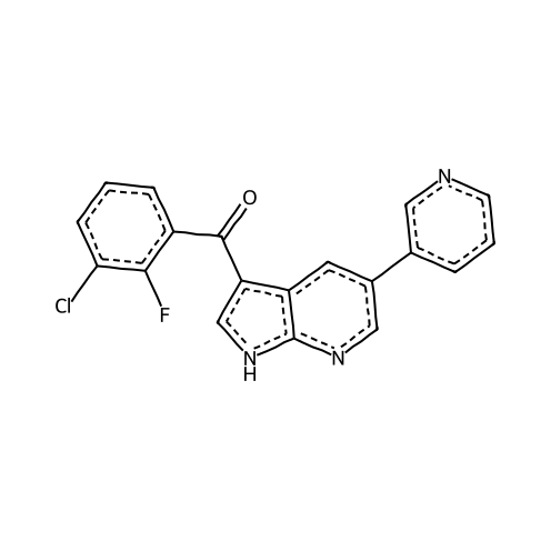 O=C(c1cccc(Cl)c1F)c1c[nH]c2ncc(-c3cccnc3)cc12